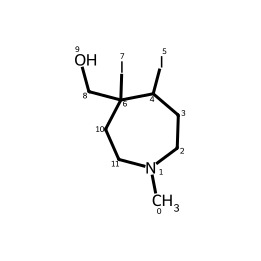 CN1CCC(I)C(I)(CO)CC1